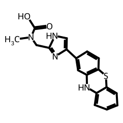 CN(Cc1nc(-c2ccc3c(c2)Nc2ccccc2S3)c[nH]1)C(=O)O